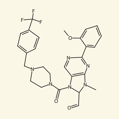 COc1ccccc1-c1ncc2c(n1)N(C)C(C=O)N2C(=O)N1CCN(Cc2ccc(C(F)(F)F)cc2)CC1